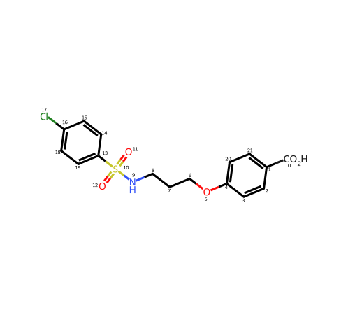 O=C(O)c1ccc(OCCCNS(=O)(=O)c2ccc(Cl)cc2)cc1